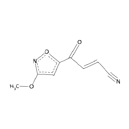 COc1cc(C(=O)C=CC#N)on1